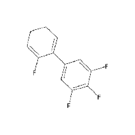 FC1=CCCC=C1c1cc(F)c(F)c(F)c1